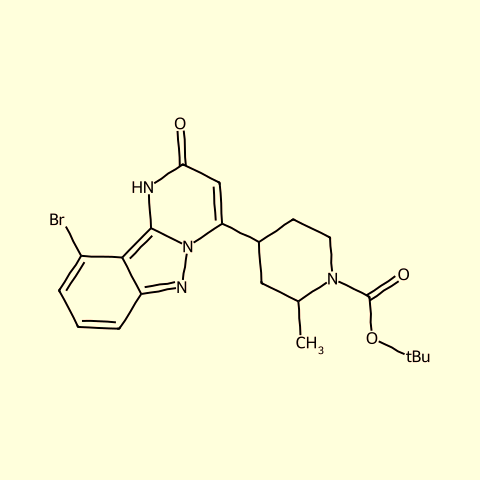 CC1CC(c2cc(=O)[nH]c3c4c(Br)cccc4nn23)CCN1C(=O)OC(C)(C)C